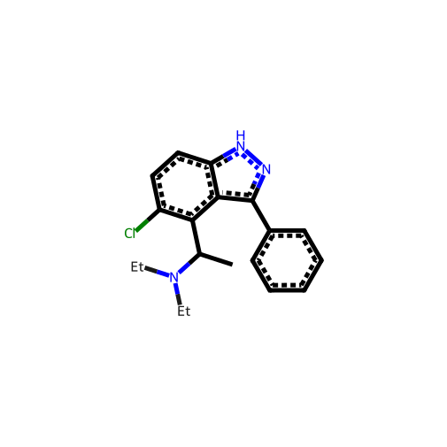 CCN(CC)C(C)c1c(Cl)ccc2[nH]nc(-c3ccccc3)c12